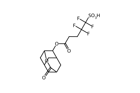 O=C(CCC(F)(F)C(F)(F)S(=O)(=O)O)OC1C2CC3CC(C2)C(=O)OC1C3